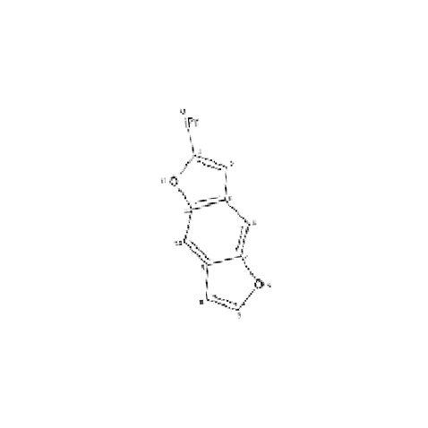 CC(C)c1cc2cc3occc3cc2o1